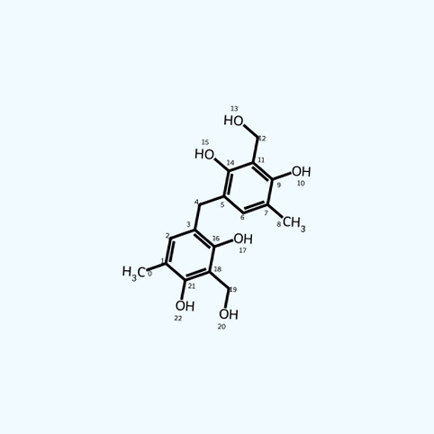 Cc1cc(Cc2cc(C)c(O)c(CO)c2O)c(O)c(CO)c1O